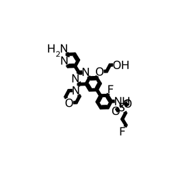 Nc1ccc(-c2nc(N3CCOCC3)c3cc(-c4cccc(NS(=O)(=O)CCCF)c4F)cc(OCCO)c3n2)cn1